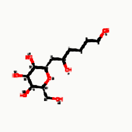 OCCCCC(O)C[C@@H]1O[C@H](CO)[C@@H](O)[C@H](O)[C@H]1O